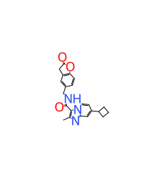 Cc1nc2cc(C3CCC3)ccn2c1C(=O)NCc1ccc2c(c1)CC(=O)O2